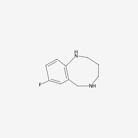 Fc1ccc2c(c1)CNCCCN2